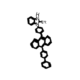 CCC1Nc2ccccc2N1c1ccc(-c2c3ccccc3c(-c3ccc(-c4ccccc4)cc3)c3ccccc23)cc1